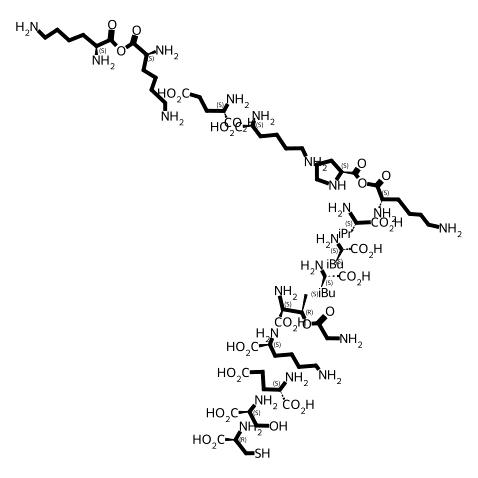 CC(C)[C@H](N)C(=O)O.CC[C@H](C)[C@H](N)C(=O)O.CC[C@H](C)[C@H](N)C(=O)O.C[C@@H](OC(=O)CN)[C@H](N)C(=O)O.NCCCC[C@H](N)C(=O)O.NCCCC[C@H](N)C(=O)O.NCCCC[C@H](N)C(=O)OC(=O)[C@@H](N)CCCCN.NCCCC[C@H](N)C(=O)OC(=O)[C@@H]1CCCN1.N[C@@H](CCC(=O)O)C(=O)O.N[C@@H](CCC(=O)O)C(=O)O.N[C@@H](CO)C(=O)O.N[C@@H](CS)C(=O)O